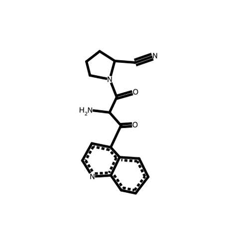 N#CC1CCCN1C(=O)C(N)C(=O)c1ccnc2ccccc12